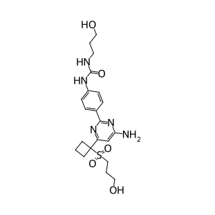 Nc1cc(C2(S(=O)(=O)CCCO)CCC2)nc(-c2ccc(NC(=O)NCCCO)cc2)n1